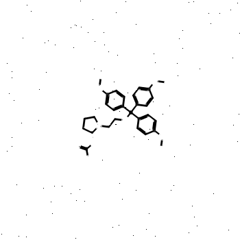 COc1ccc(C(OCCN2CCC[C@H]2OC(=O)O)(c2ccc(OC)cc2)c2ccc(OC)cc2)cc1